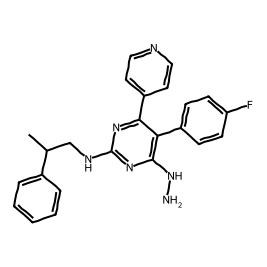 CC(CNc1nc(NN)c(-c2ccc(F)cc2)c(-c2ccncc2)n1)c1ccccc1